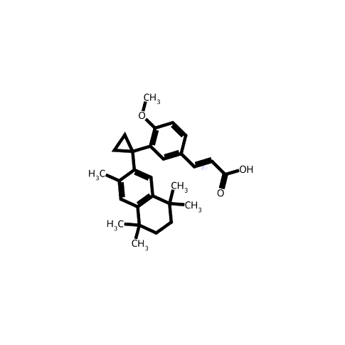 COc1ccc(/C=C/C(=O)O)cc1C1(c2cc3c(cc2C)C(C)(C)CCC3(C)C)CC1